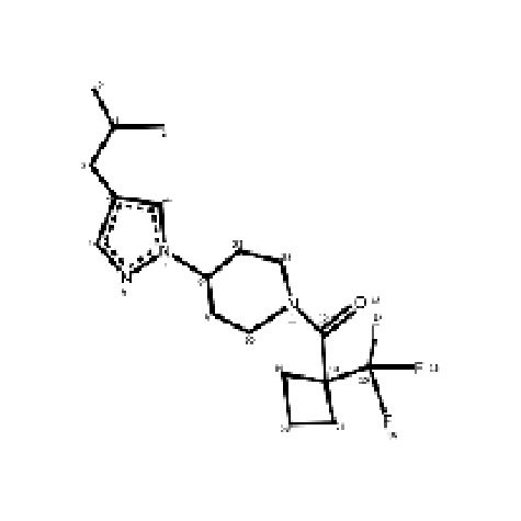 CC(C)Cc1cnn(C2CCN(C(=O)C3(C(F)(F)F)CCC3)CC2)c1